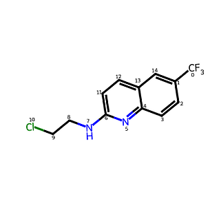 FC(F)(F)c1ccc2nc(NCCCl)ccc2c1